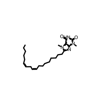 CCCCC/C=C\C/C=C\CCCCCCCCc1nc2c(c(=O)[nH]c(=O)n2C)n1C